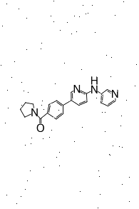 O=C(c1ccc(-c2ccc(Nc3cccnc3)nc2)cc1)N1CCCC1